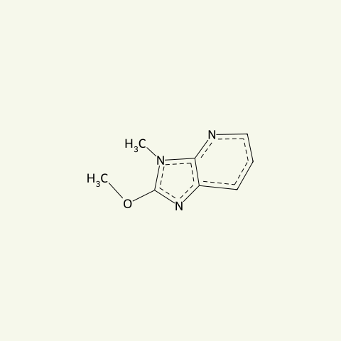 COc1nc2cccnc2n1C